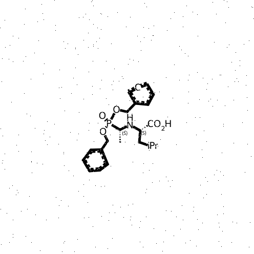 CC(C)C[C@H](N[C@H](C)P(=O)(OCc1ccccc1)OCc1ccccc1)C(=O)O